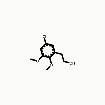 COc1cc(Cl)cc(CCO)c1OC